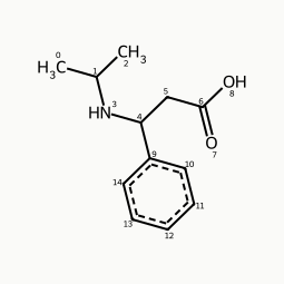 CC(C)NC(CC(=O)O)c1ccccc1